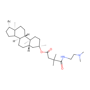 CC(=O)[C@H]1CCC2[C@@H]3CC[C@H]4C[C@](C)(OC(=O)CC(C)(C)C(=O)NCCN(C)C)CC[C@]4(C)[C@H]3CC[C@@]21C